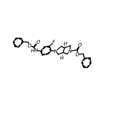 O=C(Nc1ccc(N2C[C@H]3CN(C(=O)OCc4ccccc4)C[C@H]3C2)c(F)c1)OCc1ccccc1